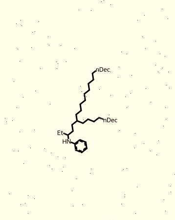 CCCCCCCCCCCCCCCCCCCC(CCCCCCCCCCCCCC)CCC(CC)Nc1ccccc1